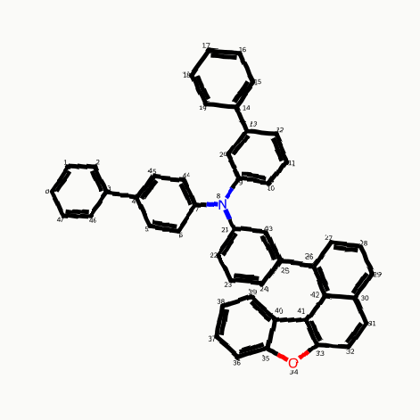 c1ccc(-c2ccc(N(c3cccc(-c4ccccc4)c3)c3cccc(-c4cccc5ccc6oc7ccccc7c6c45)c3)cc2)cc1